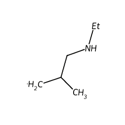 [CH2]C(C)CNCC